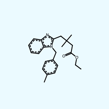 CCOC(=O)CC(C)(C)Cc1nc2ccccc2n1Cc1ccc(C)cc1